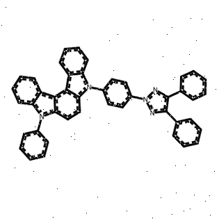 c1ccc(-c2nn(-c3ccc(-n4c5ccccc5c5c6c7ccccc7n(-c7ccccc7)c6ccc54)cc3)nc2-c2ccccc2)cc1